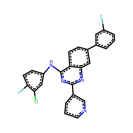 Fc1cccc(-c2ccc3c(Nc4ccc(F)c(Cl)c4)nc(-c4cccnc4)nc3c2)c1